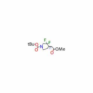 COC(=O)/C=C1\CCN(C(=O)OC(C)(C)C)CC1(F)F